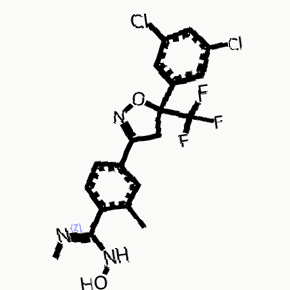 C/N=C(\NO)c1ccc(C2=NOC(c3cc(Cl)cc(Cl)c3)(C(F)(F)F)C2)cc1C